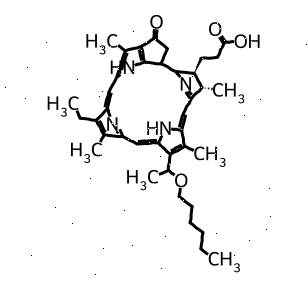 CCCCCCOC(C)c1c(C)/c2[nH]/c1=C\C1=NC(=C\c3[nH]c4c(c3C)C(=O)CC4C3N=C(/C=2)[C@@H](C)[C@@H]3CCC(=O)O)/C(CC)=C1C